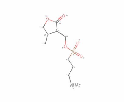 CC(=O)NCCCS(=O)(=O)OCC1C(=O)OCC1C